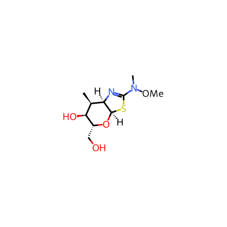 CON(C)C1=N[C@@H]2[C@H](C)[C@H](O)[C@@H](CO)O[C@@H]2S1